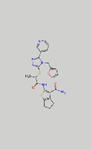 CC(Sc1nnc(-c2cccnc2)n1Cc1ccco1)C(=O)Nc1sc2c(c1C(N)=O)CCC2